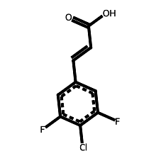 O=C(O)/C=C/c1cc(F)c(Cl)c(F)c1